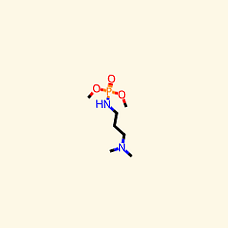 COP(=O)(NCCCN(C)C)OC